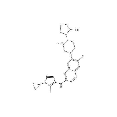 Cc1c(Nc2ncc3cc(Cl)c(C4CCN(C5COCC5O)[C@@H](C)C4)cc3n2)cnn1C1CC1